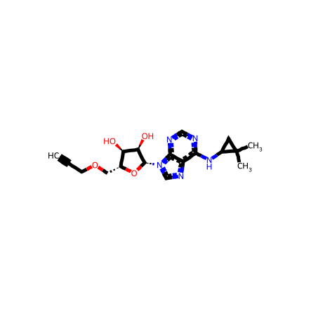 C#CCOC[C@H]1O[C@@H](n2cnc3c(NC4CC4(C)C)ncnc32)[C@H](O)[C@@H]1O